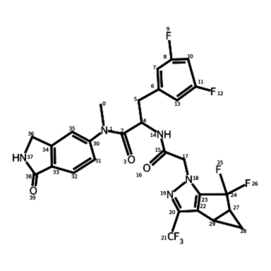 CN(C(=O)C(Cc1cc(F)cc(F)c1)NC(=O)Cn1nc(C(F)(F)F)c2c1C(F)(F)C1CC21)c1ccc2c(c1)CNC2=O